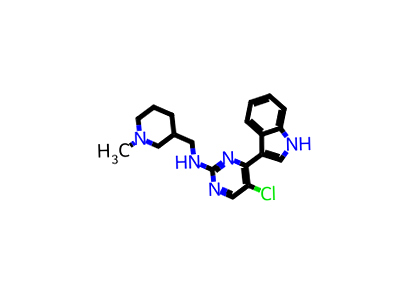 CN1CCCC(CNc2ncc(Cl)c(-c3c[nH]c4ccccc34)n2)C1